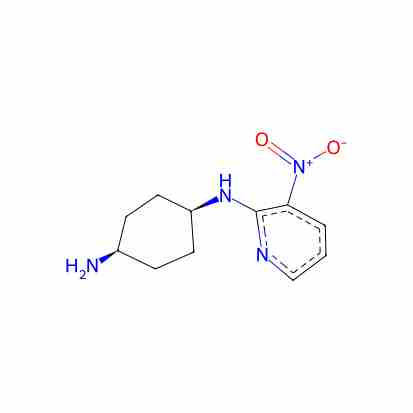 N[C@H]1CC[C@@H](Nc2ncccc2[N+](=O)[O-])CC1